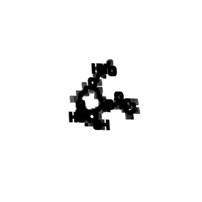 CC(=O)NCCCOC1/C=C/C[C@@H](C)OC(=O)c2c(O)cc(O)cc2CC(=N/OCC(=O)N2CCCCC2)/C=C/C1